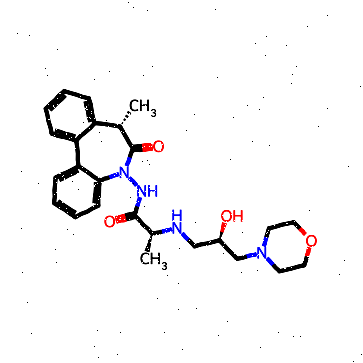 C[C@H](NC[C@@H](O)CN1CCOCC1)C(=O)NN1C(=O)[C@@H](C)c2ccccc2-c2ccccc21